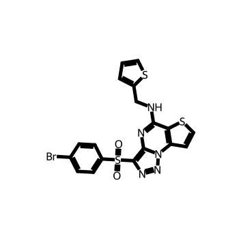 O=S(=O)(c1ccc(Br)cc1)c1nnn2c1nc(NCc1cccs1)c1sccc12